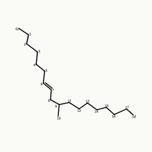 [CH2]CCCCCC=CCC(C)CCCCCCC[CH2]